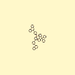 c1ccc(C2(c3ccccc3)c3ccccc3-c3c(N(c4ccc(-c5cccc(-c6cccc7ccccc67)c5)cc4)c4ccc(-c5cc6ccccc6c6ccccc56)cc4)cccc32)cc1